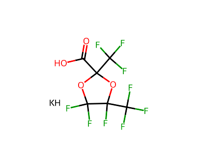 O=C(O)C1(C(F)(F)F)OC(F)(F)C(F)(C(F)(F)F)O1.[KH]